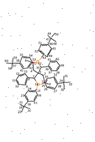 CCCC(CCC)(C(c1ccccc1)P(c1ccc(C(C)(C)C)cc1)c1ccc(C(C)(C)C)cc1)C(c1ccccc1)P(c1ccc(C(C)(C)C)cc1)c1ccc(C(C)(C)C)cc1